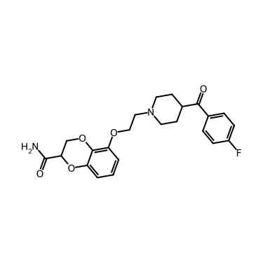 NC(=O)C1COc2c(OCCN3CCC(C(=O)c4ccc(F)cc4)CC3)cccc2O1